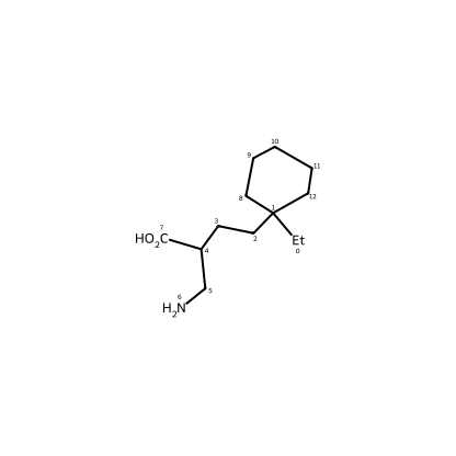 CCC1(CCC(CN)C(=O)O)CCCCC1